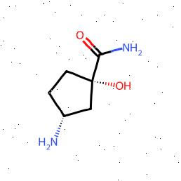 NC(=O)[C@]1(O)CC[C@@H](N)C1